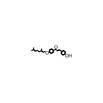 CC(C)=CCC/C(C)=C/COc1ccc(C(=O)/C=C/c2ccc(O)cc2)cc1